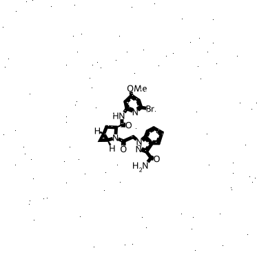 COc1cc(Br)nc(NC(=O)[C@@H]2C[C@H]3C[C@H]3N2C(=O)Cn2nc(C(N)=O)c3ccccc32)c1